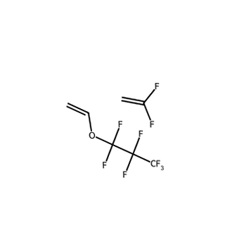 C=C(F)F.C=COC(F)(F)C(F)(F)C(F)(F)F